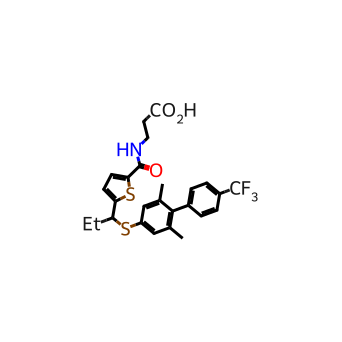 CCC(Sc1cc(C)c(-c2ccc(C(F)(F)F)cc2)c(C)c1)c1ccc(C(=O)NCCC(=O)O)s1